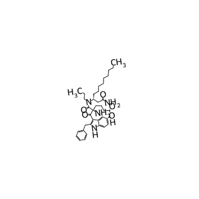 CCCCCCCCC[C@@H](CC(N)=O)N(CCC)C(=O)[C@](N)(CCCC(=O)O)C(=O)c1c(Cc2ccccc2)[nH]c2ccccc12